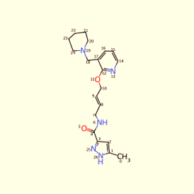 Cc1cc(C(=O)NCC=CCOc2ncccc2CN2CCCCC2)n[nH]1